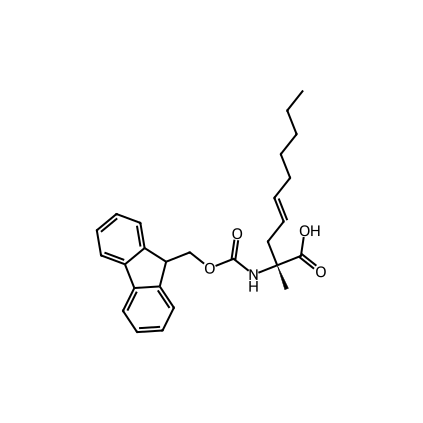 CCCCCC=CC[C@@](C)(NC(=O)OCC1c2ccccc2-c2ccccc21)C(=O)O